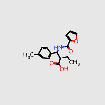 CC[C@@H](C(=O)O)C(NC(=O)c1ccco1)c1ccc(C)cc1